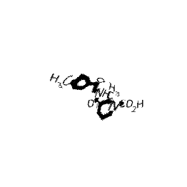 Cc1ccc(C(=O)CNC(=O)[C@@H]2CCCN(C(=O)O)[C@@H]2C)cc1